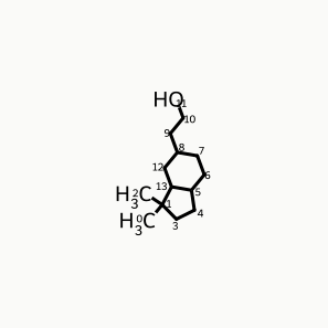 CC1(C)CCC2CCC(CCO)CC21